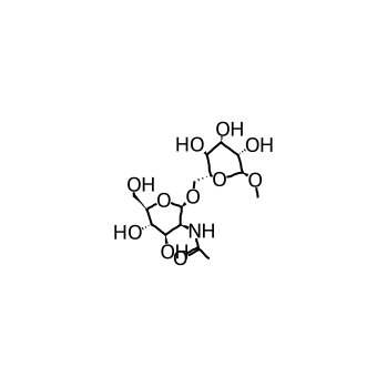 CO[C@H]1O[C@H](CO[C@@H]2O[C@H](CO)[C@@H](O)[C@H](O)[C@@H]2NC(C)=O)[C@@H](O)[C@H](O)[C@@H]1O